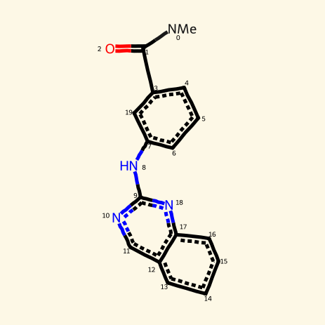 CNC(=O)c1cccc(Nc2ncc3ccccc3n2)c1